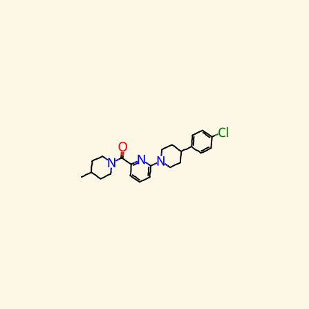 CC1CCN(C(=O)c2cccc(N3CCC(c4ccc(Cl)cc4)CC3)n2)CC1